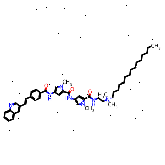 CCCCCCCCCCCCCCC[N+](C)(C)CCNC(=O)c1cc(NC(=O)c2cc(NC(=O)c3ccc(/C=C/c4cnc5ccccc5c4)cc3)cn2C)cn1C